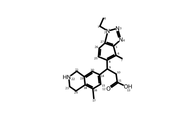 CCn1nnc2c(C)c(C(CC(=O)O)c3cc(C)c4c(c3)CNCC4)ccc21